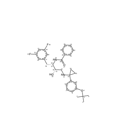 CC(C)(C)Oc1cccc(C2(NC[C@H](O)[C@H](Cc3cc(F)cc(F)c3)NC(=O)c3ccccc3)CC2)c1